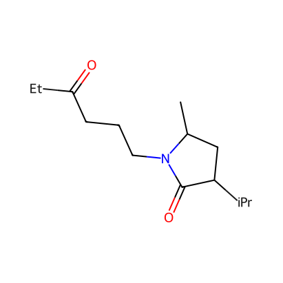 CCC(=O)CCCN1C(=O)C(C(C)C)CC1C